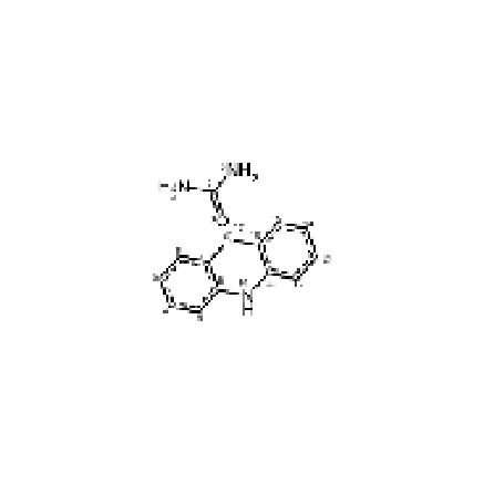 NC(N)=O.c1ccc2c(c1)Nc1ccccc1S2